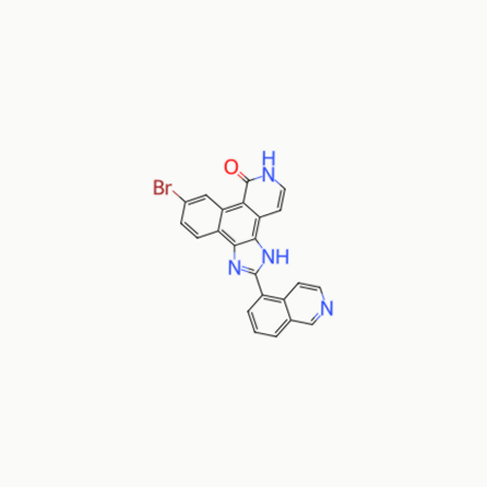 O=c1[nH]ccc2c3[nH]c(-c4cccc5cnccc45)nc3c3ccc(Br)cc3c12